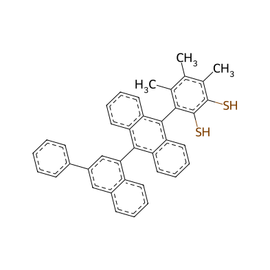 Cc1c(C)c(S)c(S)c(-c2c3ccccc3c(-c3cc(-c4ccccc4)cc4ccccc34)c3ccccc23)c1C